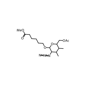 COC(=O)CCCCCOC1OC(COC(C)=O)C(C)C(C)C1N=[N+]=[N-]